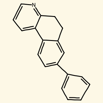 c1ccc(-c2ccc3c(c2)CCc2ncccc2-3)cc1